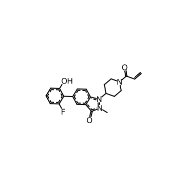 C=CC(=O)N1CCC(n2c3ccc(-c4c(O)cccc4F)cc3c(=O)n2C)CC1